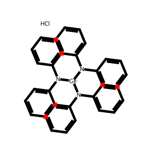 Cl.c1ccc([N](c2ccccc2)[Ge]([N](c2ccccc2)c2ccccc2)[N](c2ccccc2)c2ccccc2)cc1